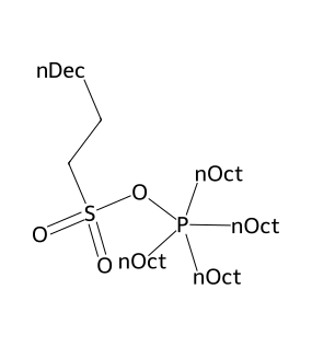 CCCCCCCCCCCCS(=O)(=O)OP(CCCCCCCC)(CCCCCCCC)(CCCCCCCC)CCCCCCCC